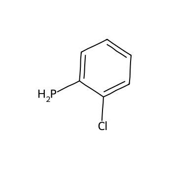 Pc1ccccc1Cl